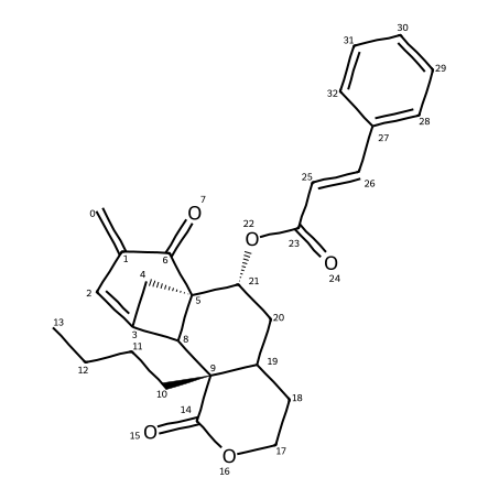 C=C1C=C2C[C@@]3(C1=O)C2[C@@]1(CCCC)C(=O)OCCC1C[C@H]3OC(=O)/C=C/c1ccccc1